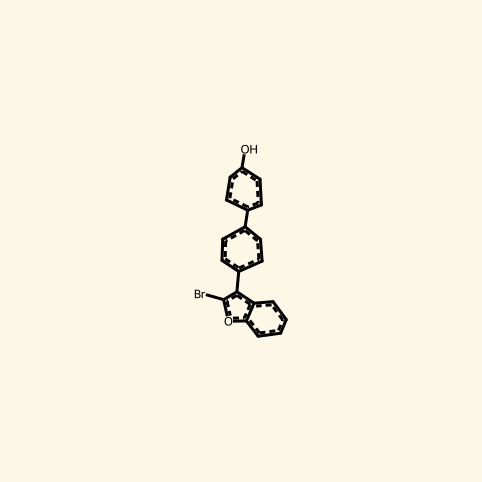 Oc1ccc(-c2ccc(-c3c(Br)oc4ccccc34)cc2)cc1